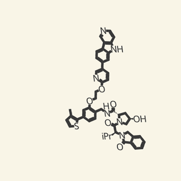 Cc1ccsc1-c1ccc(CNC(=O)[C@@H]2C[C@@H](O)CN2C(=O)[C@H](C(C)C)N2Cc3ccccc3C2=O)c(OCCOc2ccc(-c3ccc4c(c3)[nH]c3ccncc34)cn2)c1